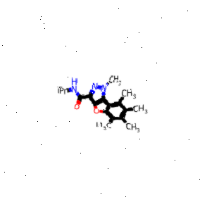 Cc1c(C)c(C)c2c(oc3c(C(=O)NC(C)C)nn(C)c32)c1C